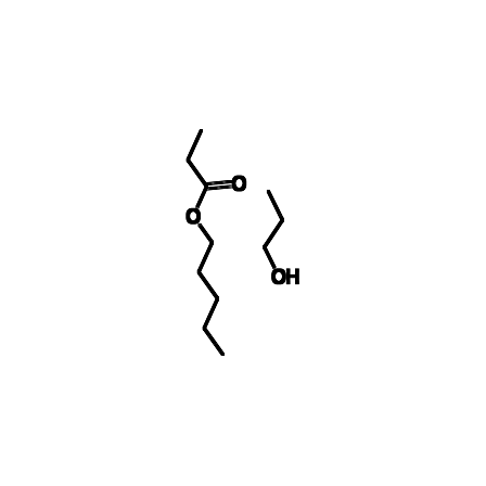 CCCCCOC(=O)CC.CCCO